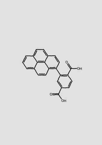 O=C(O)c1ccc(C(=O)O)c(-c2ccc3ccc4cccc5ccc2c3c45)c1